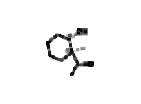 CC(=O)[C@@]1(C)CCCC[C@@H]1O